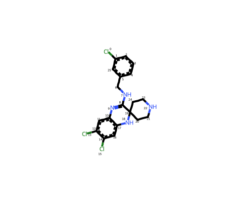 Clc1cccc(CNC2=Nc3cc(Cl)c(Cl)cc3NC23CCNCC3)c1